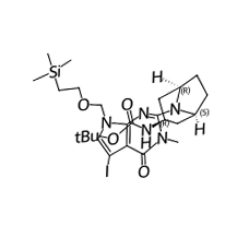 Cn1c(N2[C@@H]3CC[C@H]2C[C@@H](NC(=O)OC(C)(C)C)C3)nc2c(c(I)cn2COCC[Si](C)(C)C)c1=O